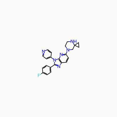 Fc1ccc(-c2nc3ccc(N4CCNC5(CC5)C4)nc3n2-c2ccncc2)cc1